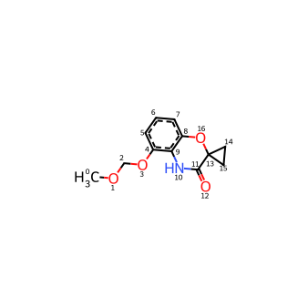 COCOc1cccc2c1NC(=O)C1(CC1)O2